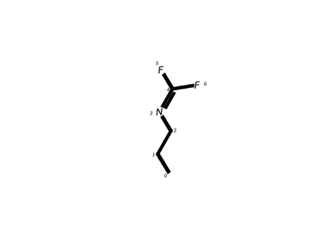 CCCN=C(F)F